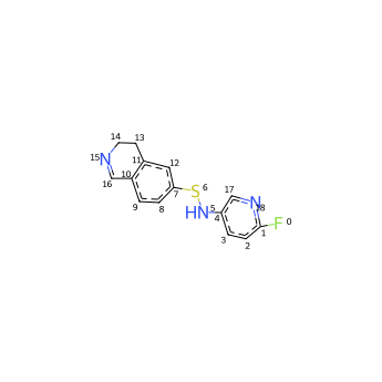 Fc1ccc(NSc2ccc3c(c2)CCN=C3)cn1